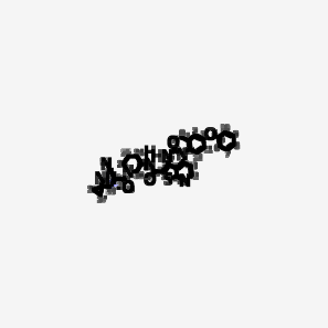 Cc1cc(Oc2ccccc2)ccc1N1C(=O)Nc2c(C(=O)N[C@@H]3CCCN(C(=O)/C(C#N)=C/C4(N)CC4)C3)sc3nccc1c23